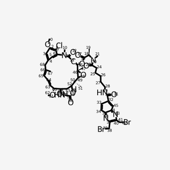 COc1cc2cc(c1Cl)N(C)C(=O)C[C@H](OC(=O)[C@@H](C)N(C)C(=O)CCCCCNC(=O)c1ccc3nc(CBr)c(CBr)nc3c1)[C@]1(C)OC1[C@H](C)[C@@H]1C[C@@](O)(NC(=O)O1)[C@H](OC)/C=C/C=C(\C)C2